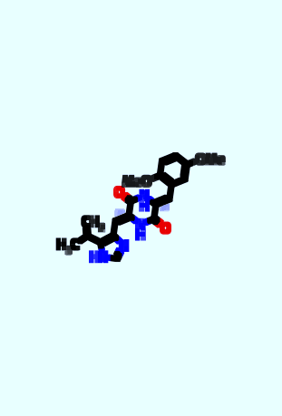 C=C(C)c1[nH]cnc1/C=c1\[nH]c(=O)/c(=C/c2cc(OC)ccc2OC)[nH]c1=O